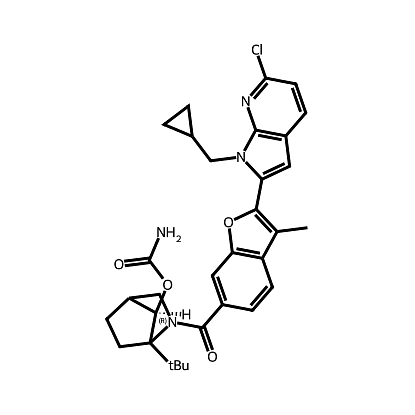 Cc1c(-c2cc3ccc(Cl)nc3n2CC2CC2)oc2cc(C(=O)N3CC4CCC3(C(C)(C)C)[C@@H]4OC(N)=O)ccc12